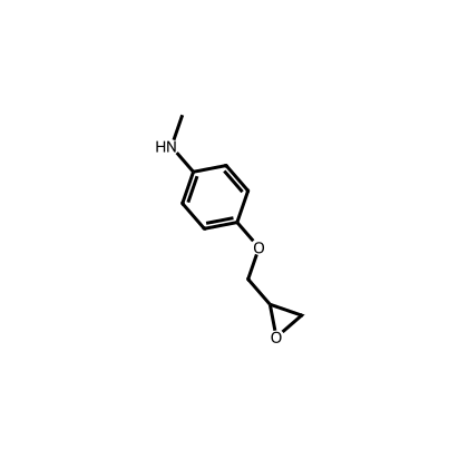 CNc1ccc(OCC2CO2)cc1